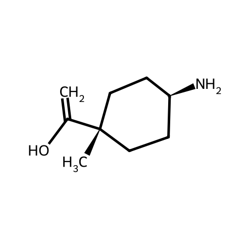 C=C(O)[C@]1(C)CC[C@@H](N)CC1